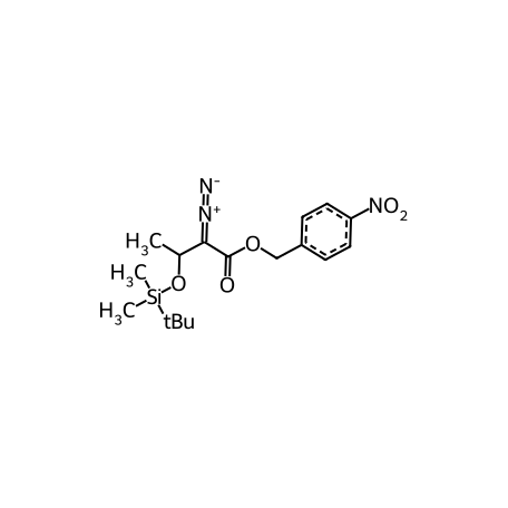 CC(O[Si](C)(C)C(C)(C)C)C(=[N+]=[N-])C(=O)OCc1ccc([N+](=O)[O-])cc1